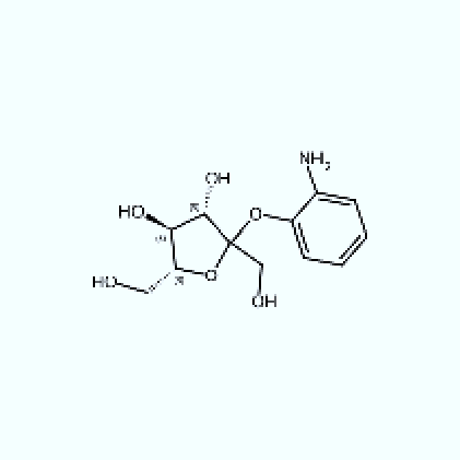 Nc1ccccc1OC1(CO)O[C@H](CO)[C@@H](O)[C@@H]1O